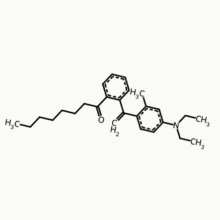 C=C(c1ccc(N(CC)CC)cc1C)c1ccccc1C(=O)CCCCCCC